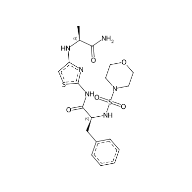 C[C@H](Nc1csc(NC(=O)[C@H](Cc2ccccc2)NS(=O)(=O)N2CCOCC2)n1)C(N)=O